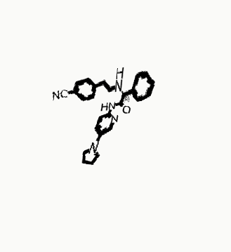 N#Cc1ccc(CCN[C@@H](C(=O)Nc2ccc(N3CCCC3)cn2)c2ccccc2)cc1